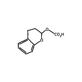 O=C(O)OC1CCc2ccccc2O1